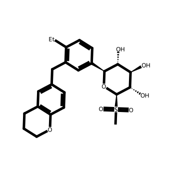 CCc1ccc([C@@H]2O[C@H](S(C)(=O)=O)[C@@H](O)[C@H](O)[C@H]2O)cc1Cc1ccc2c(c1)CCCO2